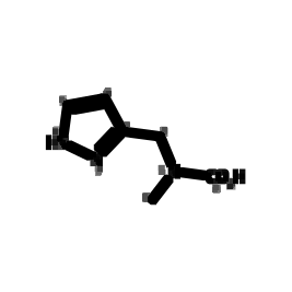 CN(Cc1cc[nH]n1)C(=O)O